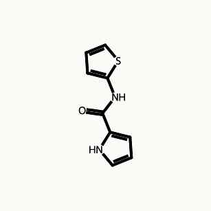 O=C(Nc1cccs1)c1ccc[nH]1